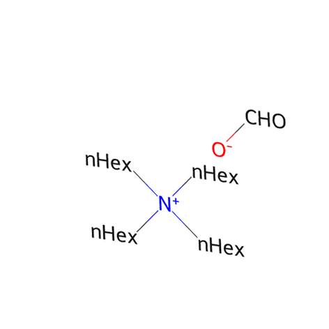 CCCCCC[N+](CCCCCC)(CCCCCC)CCCCCC.O=C[O-]